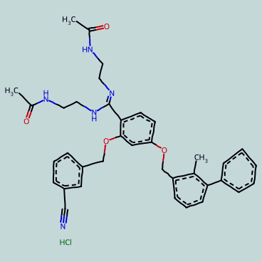 CC(=O)NCC/N=C(\NCCNC(C)=O)c1ccc(OCc2cccc(-c3ccccc3)c2C)cc1OCc1cccc(C#N)c1.Cl